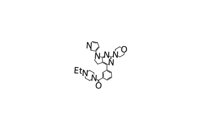 CCN1CCN(C(=O)c2cccc(-c3nc(N4CCOCC4)nc4c3CCN4c3cccnc3)c2)CC1